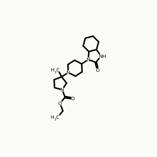 CCOC(=O)N1CCC(C)(N2CCC(N3C(=O)NC4CCCCC43)CC2)C1